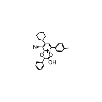 Cc1ccc(-c2cc(C3CCCCC3)c(C#N)c(OC(C(=O)O)c3ccccc3)n2)cc1